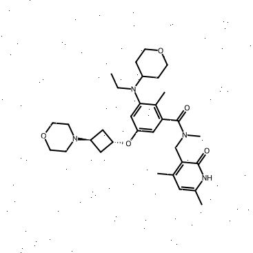 CCN(c1cc(O[C@H]2C[C@H](N3CCOCC3)C2)cc(C(=O)N(C)Cc2c(C)cc(C)[nH]c2=O)c1C)C1CCOCC1